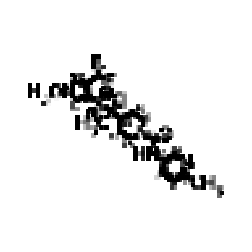 Cc1ccc(NC(=O)N2CCC(C(C)(C)S(=O)(=O)c3cn(C)nc3C(F)F)CC2)cn1